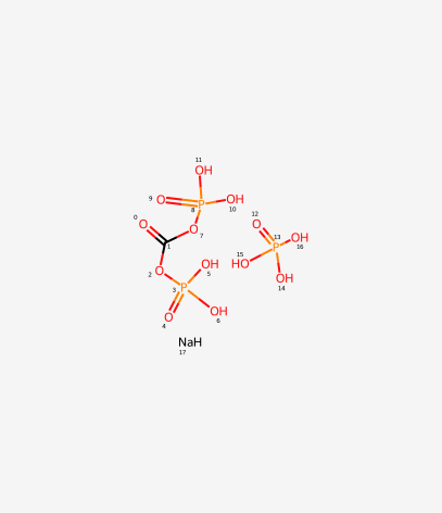 O=C(OP(=O)(O)O)OP(=O)(O)O.O=P(O)(O)O.[NaH]